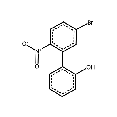 O=[N+]([O-])c1ccc(Br)cc1-c1ccccc1O